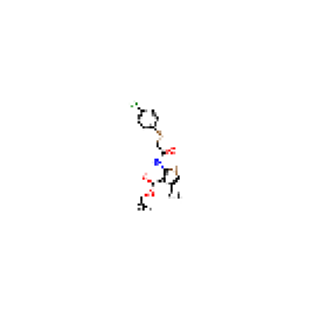 CCOC(=O)c1c(C)csc1NC(=O)CSc1ccc(Cl)cc1